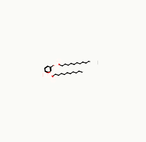 CCCCCCCCCCCC(=O)O.CCCCCCCCCCCC(=O)OCc1ccccc1